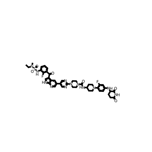 CCN(C)S(=O)(=O)Nc1cccc(C(=O)c2c[nH]c3ncc(-c4cnc(N5CCN(C(=O)NC6CCN(c7ccc(NC8CCC(=O)NC8=O)cc7F)CC6)CC5)nc4)cc23)c1F